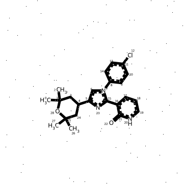 CC1(C)CC(c2cn(-c3ccc(Cl)cc3)c(-c3ccc[nH]c3=O)n2)CC(C)(C)O1